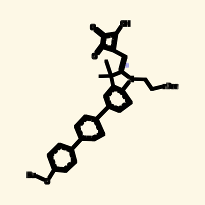 CCCCCCCCCCCCN1/C(=C/c2c(O)c(=O)c2=O)C(C)(C)c2cc(-c3ccc(-c4ccc(OC(C)CC)cc4)cc3)ccc21